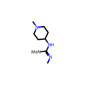 C/N=C(\NC)NC1CCN(C)CC1